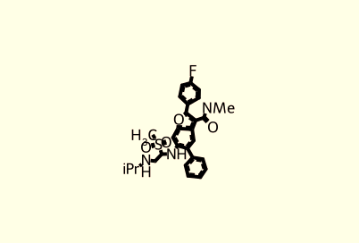 CNC(=O)c1c(-c2ccc(F)cc2)oc2cc(NC(CNC(C)C)S(C)(=O)=O)c(-c3ccccc3)cc12